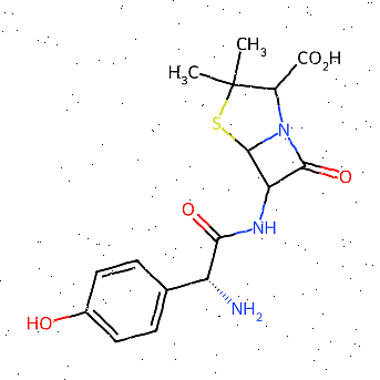 CC1(C)SC2C(NC(=O)[C@H](N)c3ccc(O)cc3)C(=O)N2C1C(=O)O